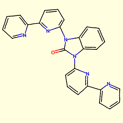 O=c1n(-c2cccc(-c3ccccn3)n2)c2ccccc2n1-c1cccc(-c2ccccn2)n1